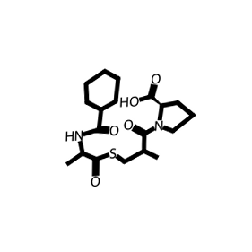 CC(CSC(=O)C(C)NC(=O)C1CCCCC1)C(=O)N1CCC[C@@H]1C(=O)O